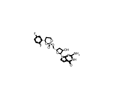 Nc1nc2c(ccn2[C@@H]2O[C@H](COP3(=O)OCC[C@@H](c4cc(F)ccc4F)O3)C[C@H]2O)c(=O)[nH]1